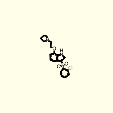 O=S(=O)(c1ccccc1Cl)c1c[nH]c2c(OCCN3CCCC3)cccc12